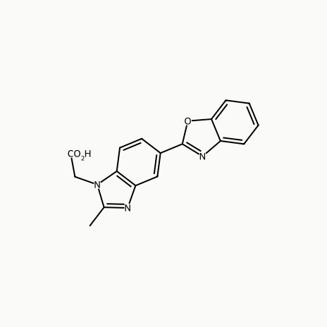 Cc1nc2cc(-c3nc4ccccc4o3)ccc2n1CC(=O)O